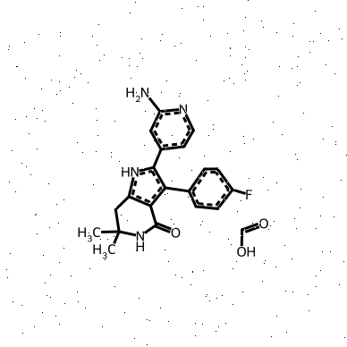 CC1(C)Cc2[nH]c(-c3ccnc(N)c3)c(-c3ccc(F)cc3)c2C(=O)N1.O=CO